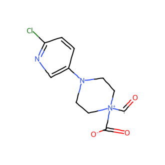 O=[C][N+]1(C(=O)[O-])CCN(c2ccc(Cl)nc2)CC1